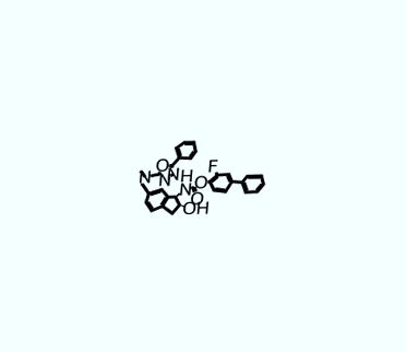 CN(Cc1ccc2c(c1)[C@@H](NC(=O)Oc1ccc(-c3ccccc3)cc1F)[C@H](O)C2)c1nnc(-c2ccccc2)o1